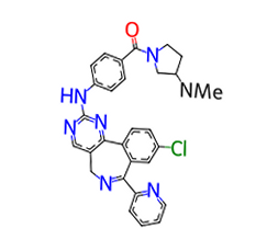 CNC1CCN(C(=O)c2ccc(Nc3ncc4c(n3)-c3ccc(Cl)cc3C(c3ccccn3)=NC4)cc2)C1